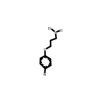 CCN(CC)CCCOc1ccc([N])cc1